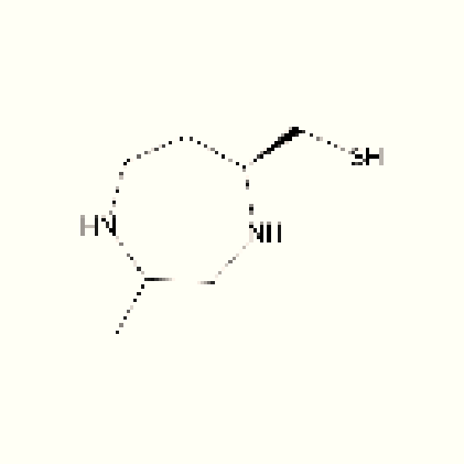 CC1CN[C@H](CS)CCN1